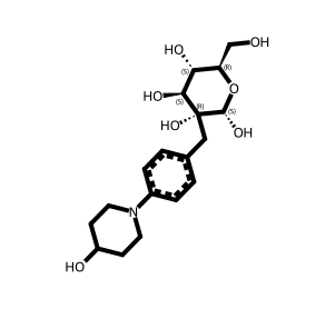 OC[C@H]1O[C@H](O)[C@@](O)(Cc2ccc(N3CCC(O)CC3)cc2)[C@@H](O)[C@@H]1O